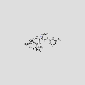 CC(=O)c1cccc(CC/C(=N\O)c2ccc3c(c2)C(C)(C)CCC3(C)C)c1